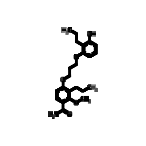 CCCc1c(O)cccc1OCCCOc1ccc(C(N)=O)c(OC)c1CCC